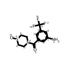 Nc1cc(C(=O)N2CC[S+]([O-])CC2)cc(C(F)(F)F)c1